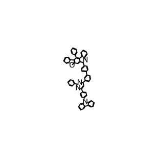 c1ccc(-c2nc(-c3ccc(-n4c5ccccc5c5ccccc54)cc3)cc(-c3cccc(-c4ccc(-c5nc6ccccc6c6c(-c7ccccc7)c7c(cc56)oc5ccccc57)cc4)c3)n2)cc1